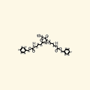 CC(C)(C)OC(=O)[C@H](CCCCNC(=O)OCc1ccccc1)NC(=O)CCCNC(=O)OCc1ccccc1